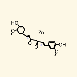 COc1cc(/C=C/C(=O)CC(=O)/C=C/C2CC=C(O)C(OC)C2)ccc1O.[Zn]